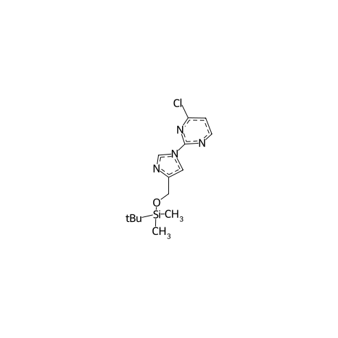 CC(C)(C)[Si](C)(C)OCc1cn(-c2nccc(Cl)n2)cn1